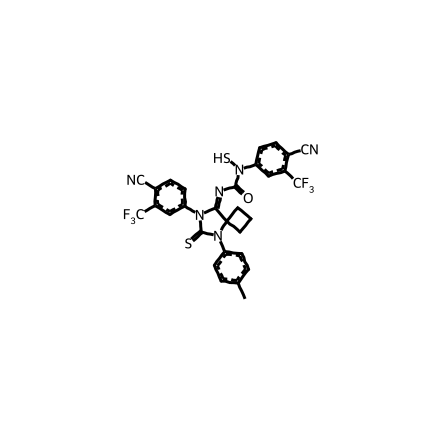 Cc1ccc(N2C(=S)N(c3ccc(C#N)c(C(F)(F)F)c3)C(=NC(=O)N(S)c3ccc(C#N)c(C(F)(F)F)c3)C23CCC3)cc1